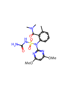 COc1cc(OC)nc(N(c2cccc(C)c2C(=O)N(C)C)S(=O)(=O)NC(N)=O)n1